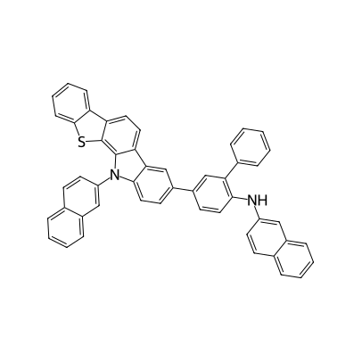 c1ccc(-c2cc(-c3ccc4c(c3)c3ccc5c6ccccc6sc5c3n4-c3ccc4ccccc4c3)ccc2Nc2ccc3ccccc3c2)cc1